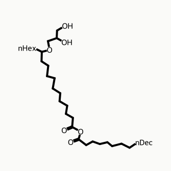 CCCCCCCCCCCCCCCCCC(=O)OC(=O)CCCCCCCCCCC(CCCCCC)OCC(O)CO